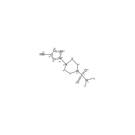 CN(C)S(=O)(=O)N1CCN([n+]2cc([NH-])on2)CC1